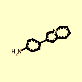 Nc1ccc(-c2cc3ccccn3c2)cc1